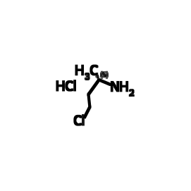 C[C@H](N)CCCl.Cl